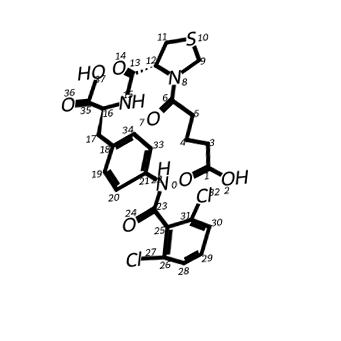 O=C(O)CCCC(=O)N1CSC[C@H]1C(=O)N[C@@H](Cc1ccc(NC(=O)c2c(Cl)cccc2Cl)cc1)C(=O)O